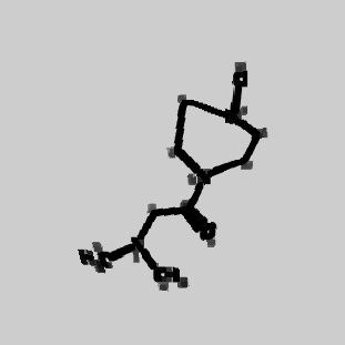 CN(C)CC(=O)N1CCN(Cl)CC1